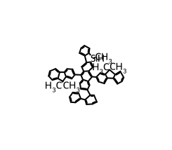 C[SiH]1c2ccccc2-c2cc3c(-c4ccc5c(c4)C(C)(C)c4ccccc4-5)c4ccc(-c5ccccc5-c5ccccc5)cc4c(-c4ccc5c(c4)C(C)(C)c4ccccc4-5)c3cc21